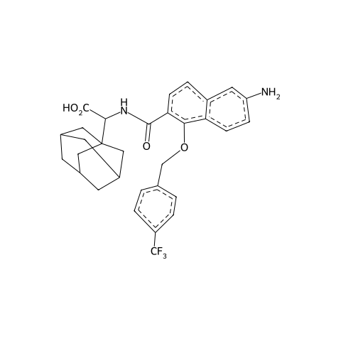 Nc1ccc2c(OCc3ccc(C(F)(F)F)cc3)c(C(=O)NC(C(=O)O)C34CC5CC(CC(C5)C3)C4)ccc2c1